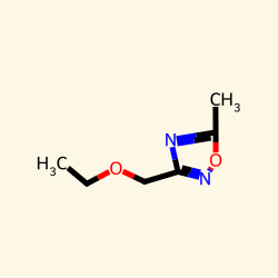 CCOCc1noc(C)n1